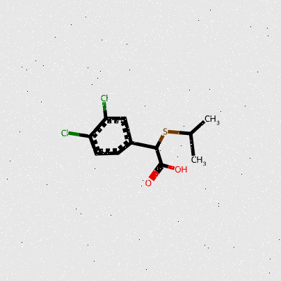 CC(C)SC(C(=O)O)c1ccc(Cl)c(Cl)c1